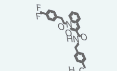 CCc1ccc(CCNC(=O)c2cc3ccccc3n(C(=O)Cc3ccc(C(F)F)cc3)c2=O)cc1